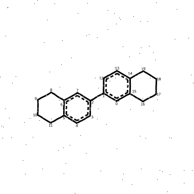 [c]1c(-c2ccc3c(c2)CCCC3)ccc2c1CCCC2